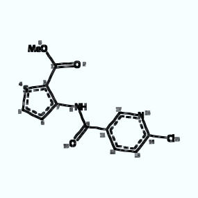 COC(=O)c1sccc1NC(=O)c1ccc(Cl)nc1